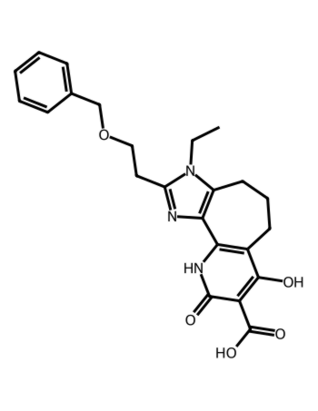 CCn1c(CCOCc2ccccc2)nc2c1CCCc1c-2[nH]c(=O)c(C(=O)O)c1O